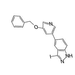 Ic1n[nH]c2ccc(-c3cncc(OCc4ccccc4)c3)cc12